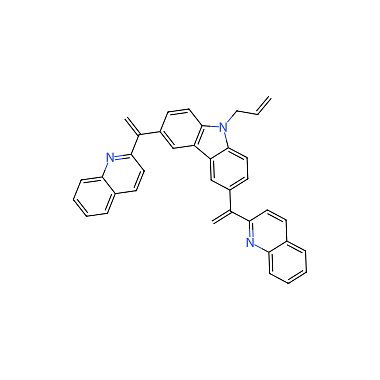 C=CCn1c2ccc(C(=C)c3ccc4ccccc4n3)cc2c2cc(C(=C)c3ccc4ccccc4n3)ccc21